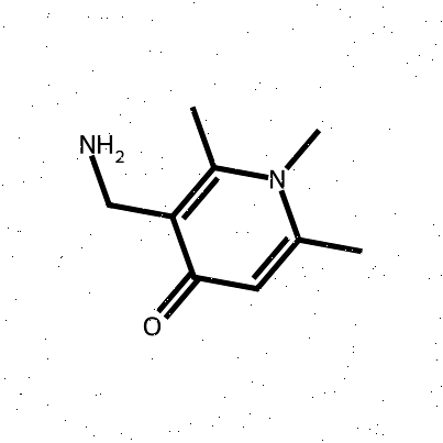 Cc1cc(=O)c(CN)c(C)n1C